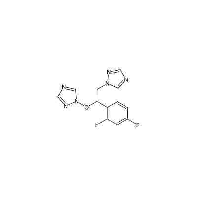 FC1=CC(F)C(C(Cn2cncn2)On2cncn2)C=C1